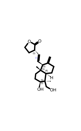 C=C1CC[C@@H]2[C@](C)(CC[C@H](O)[C@]2(C)CO)[C@H]1/C=C/[C@@H]1CCOC1=O